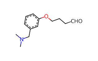 CN(C)Cc1cccc(OCCCC=O)c1